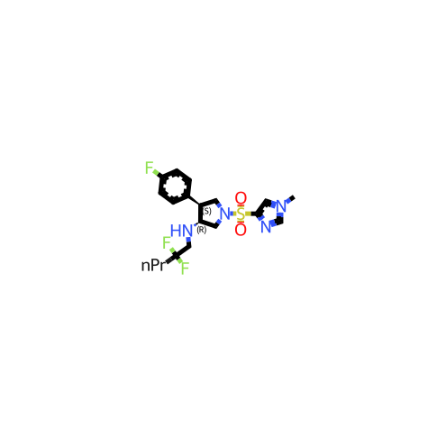 CCCC(F)(F)CN[C@H]1CN(S(=O)(=O)c2cn(C)cn2)C[C@@H]1c1ccc(F)cc1